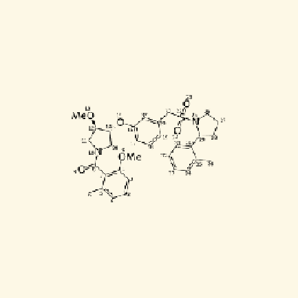 COc1cccc(C)c1C(=O)N1C[C@@H](OC)[C@H](Oc2cccc(CS(=O)(=O)N3CCCC3c3ccccc3C)c2)C1